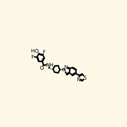 O=C(NC[C@H]1CC[C@H](n2cc3cc(-c4cscn4)ccc3n2)CC1)c1cc(F)c(O)c(F)c1